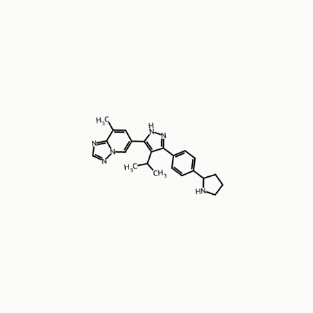 Cc1cc(-c2[nH]nc(-c3ccc(C4CCCN4)cc3)c2C(C)C)cn2ncnc12